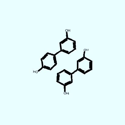 Oc1ccc(-c2cccc(O)c2)cc1.Oc1cccc(-c2cccc(O)c2)c1